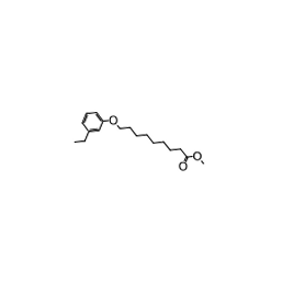 CCc1cccc(OCCCCCCCCC(=O)OC)c1